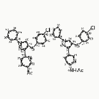 CC(=O)Nc1ccc(-c2nn(-c3ccccc3)cc2Sc2ccc(Cl)cc2)cn1.CC(=O)c1ccc(-c2nn(-c3ccccc3)cc2Sc2ccc(Cl)cc2)nc1